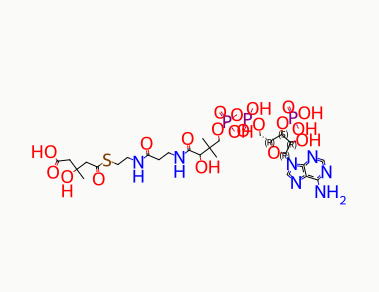 CC(O)(CC(=O)O)CC(=O)SCCNC(=O)CCNC(=O)C(O)C(C)(C)COP(=O)(O)OP(=O)(O)OC[C@H]1O[C@@H](n2cnc3c(N)ncnc32)[C@H](O)[C@@H]1OP(=O)(O)O